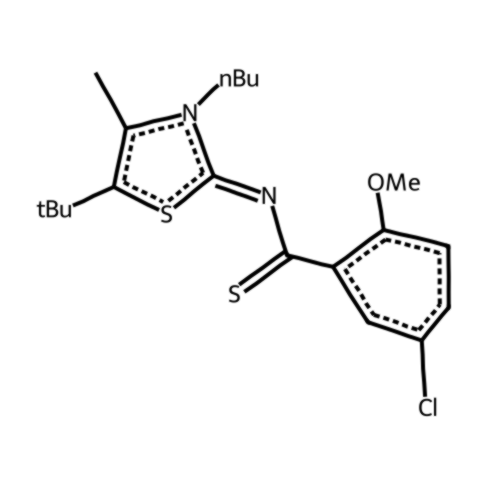 CCCCn1c(C)c(C(C)(C)C)sc1=NC(=S)c1cc(Cl)ccc1OC